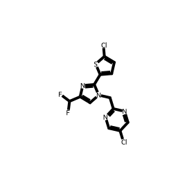 FC(F)c1cn(Cc2ncc(Cl)cn2)c(-c2ccc(Cl)s2)n1